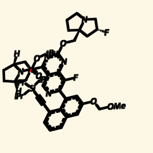 COCOc1cc(-c2ncc3c(N4C[C@H]5CC[C@@H](C4)N5C(=O)OC(C)(C)C)nc(OC[C@@]45CCCN4C[C@H](F)C5)nc3c2F)c2c(C#C[Si](C(C)C)(C(C)C)C(C)C)cccc2c1